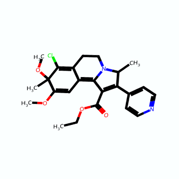 CCOC(=O)C1=C(c2ccncc2)C(C)N2CCC3=C(Cl)C(C)(OC)C(OC)=CC3=C12